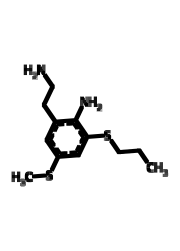 CCCSc1cc(SC)cc(CCN)c1N